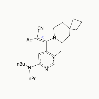 CCCCN(CCC)c1cc(/C(=C(/C#N)C(C)=O)N2CCC3(CCC3)CC2)c(C)cn1